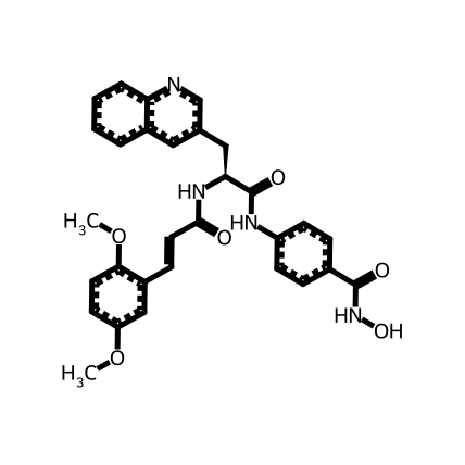 COc1ccc(OC)c(/C=C/C(=O)N[C@@H](Cc2cnc3ccccc3c2)C(=O)Nc2ccc(C(=O)NO)cc2)c1